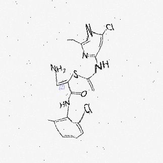 C=C(Nc1cc(Cl)nc(C)n1)S/C(=C\N)C(=O)Nc1c(C)cccc1Cl